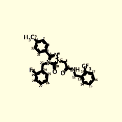 Cc1ccc(-c2nn(CC(=O)NCc3ccccc3C(F)(F)F)c(=O)n2Cc2ccccc2F)cc1